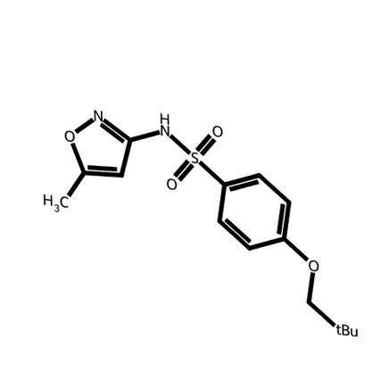 Cc1cc(NS(=O)(=O)c2ccc(OCC(C)(C)C)cc2)no1